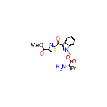 COC(=O)c1csc(C(=O)c2cn(COC(=O)C(N)C(C)C)c3ccccc23)n1